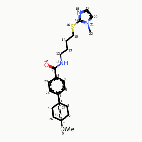 COC12CCC(c3ccc(C(=O)NCCCCSc4nccn4C)cc3)(CC1)CC2